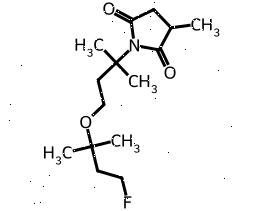 CC1CC(=O)N(C(C)(C)CCOC(C)(C)CCF)C1=O